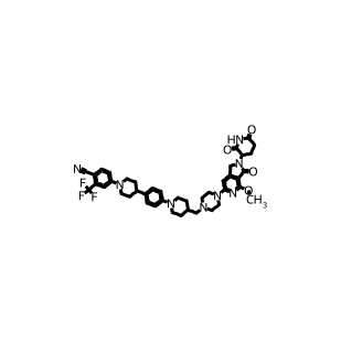 COc1nc(N2CCN(CC3CCN(c4ccc(C5CCN(c6ccc(C#N)c(C(F)(F)F)c6)CC5)cc4)CC3)CC2)cc2c1C(=O)N(C1CCC(=O)NC1=O)C2